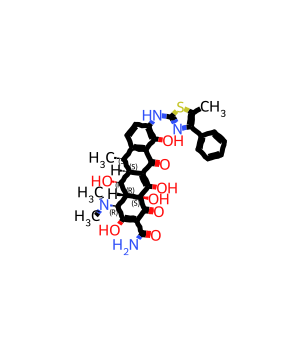 Cc1sc(Nc2ccc3c(c2O)C(=O)C2=C(O)[C@]4(O)C(=O)C(C(N)=O)=C(O)[C@H](N(C)C)[C@@H]4[C@H](O)[C@H]2[C@@H]3C)nc1-c1ccccc1